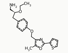 CCO[C@H](CN)Cc1ccc(OCc2nc(-c3cccs3)oc2C)cc1